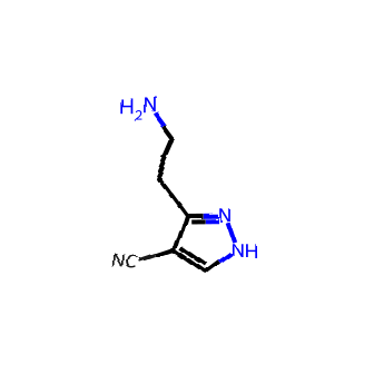 N#Cc1c[nH]nc1CCN